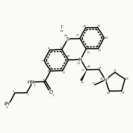 CC(C)CCNC(=O)c1ccc2c(c1)N([C@H](C)C[N+]1(C)CCCC1)c1ccccc1S2.[I-]